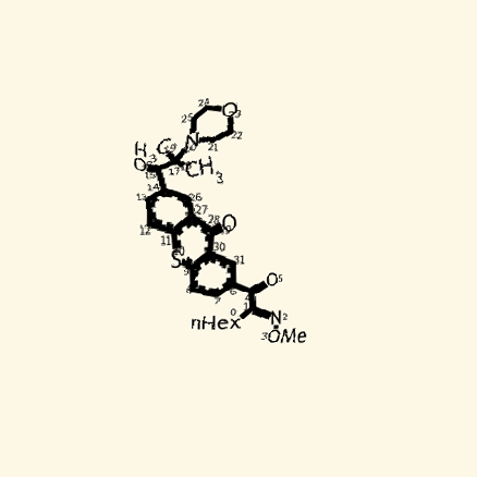 CCCCCC/C(=N\OC)C(=O)c1ccc2sc3ccc(C(=O)C(C)(C)N4CCOCC4)cc3c(=O)c2c1